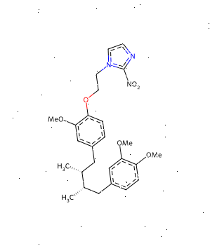 COc1ccc(C[C@H](C)[C@H](C)Cc2ccc(OCCn3ccnc3[N+](=O)[O-])c(OC)c2)cc1OC